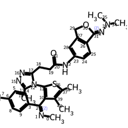 C/N=C(/c1ccc(Cl)cc1)c1c(-n2c(C)nnc2CCC(=O)Nc2ccc3c(c2)CO/C3=N\N(C)C)sc(C)c1C